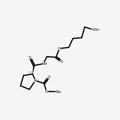 CCCCCCCCCCCCCCOC(=O)CNC(=O)[C@@H]1CCCN1C(=O)OC(C)(C)C